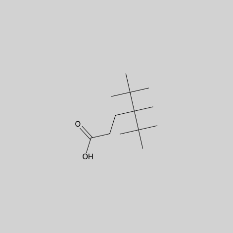 CC(C)(C)C(C)(CCC(=O)O)C(C)(C)C